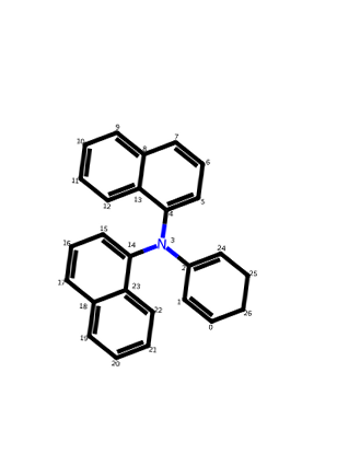 C1=CC(N(c2cccc3ccccc23)c2cccc3ccccc23)=CCC1